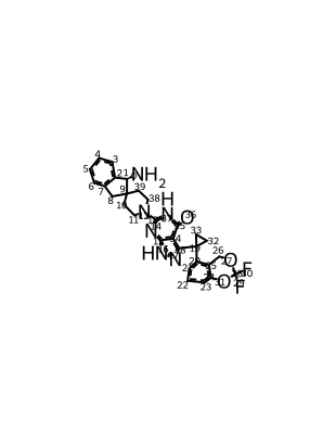 N[C@@H]1c2ccccc2CC12CCN(c1nc3[nH]nc(C4(c5cccc6c5COC(F)(F)O6)CC4)c3c(=O)[nH]1)CC2